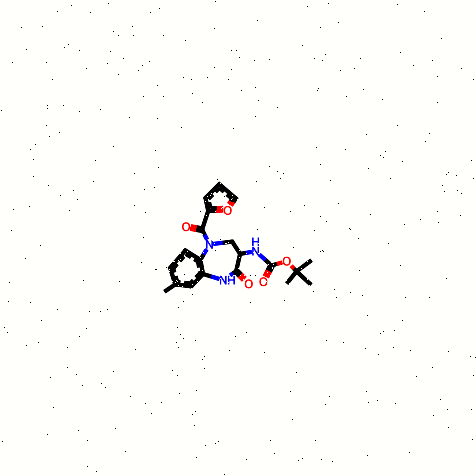 Cc1ccc2c(c1)NC(=O)C(NC(=O)OC(C)(C)C)CN2C(=O)c1ccco1